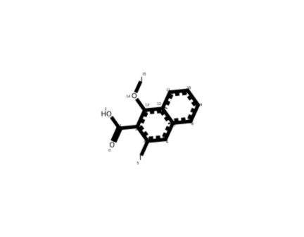 O=C(O)c1c(I)cc2ccccc2c1OI